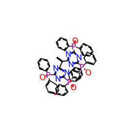 C=C(c1nc(P(=O)(C2=CCCC=C2)C2=CC=CCC2)nc(P(=O)(c2ccccc2)c2ccccc2)n1)c1nc(P(=O)(C2=CC=CCC2)c2ccccc2)nc(P(=O)(c2ccccc2)c2ccccc2)n1